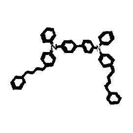 C(=Cc1ccccc1)/C=C/c1ccc(N(c2ccccc2)c2ccc(-c3ccc(N(c4ccccc4)c4ccc(/C=C/C=Cc5ccccc5)cc4)cc3)cc2)cc1